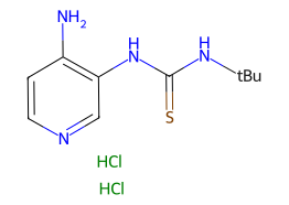 CC(C)(C)NC(=S)Nc1cnccc1N.Cl.Cl